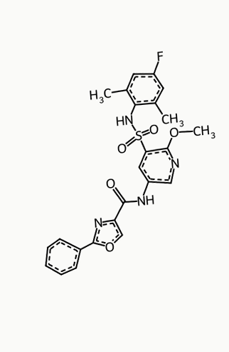 COc1ncc(NC(=O)c2coc(-c3ccccc3)n2)cc1S(=O)(=O)Nc1c(C)cc(F)cc1C